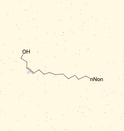 CCCCCCCCCCCCCCCCCC/C=C\CCO